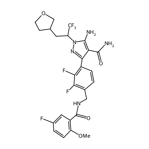 COc1ccc(F)cc1C(=O)NCc1ccc(-c2nn(C(CC3CCOC3)C(F)(F)F)c(N)c2C(N)=O)c(F)c1F